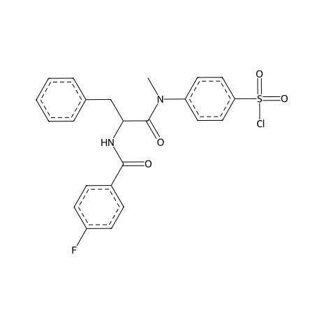 CN(C(=O)C(Cc1ccccc1)NC(=O)c1ccc(F)cc1)c1ccc(S(=O)(=O)Cl)cc1